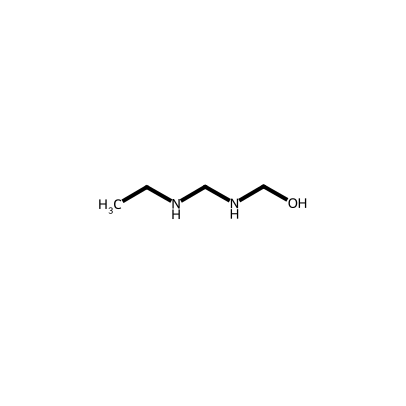 CCNCNCO